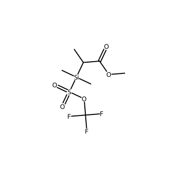 COC(=O)C(C)[Si](C)(C)S(=O)(=O)OC(F)(F)F